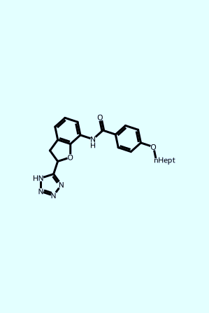 CCCCCCCOc1ccc(C(=O)Nc2cccc3c2OC(c2nnn[nH]2)C3)cc1